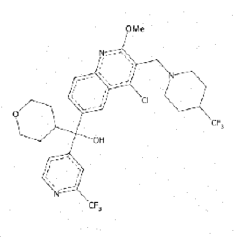 COc1nc2ccc(C(O)(c3ccnc(C(F)(F)F)c3)C3CCOCC3)cc2c(Cl)c1CN1CCC(C(F)(F)F)CC1